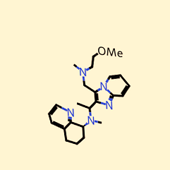 COCCN(C)Cc1c(C(C)N(C)[C@H]2CCCc3cccnc32)nc2ccccn12